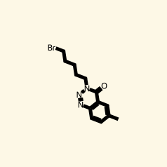 Cc1ccc2nnn(CCCCCBr)c(=O)c2c1